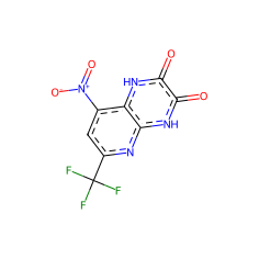 O=c1[nH]c2nc(C(F)(F)F)cc([N+](=O)[O-])c2[nH]c1=O